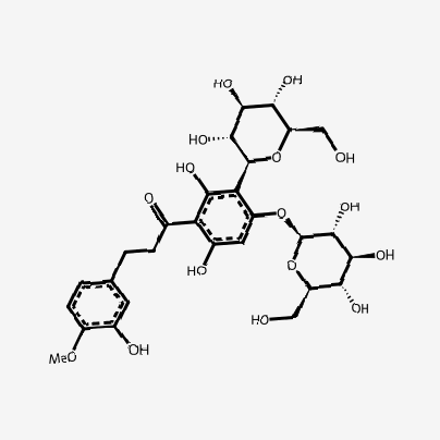 COc1ccc(CCC(=O)c2c(O)cc(O[C@@H]3O[C@H](CO)[C@@H](O)[C@H](O)[C@H]3O)c([C@@H]3O[C@H](CO)[C@@H](O)[C@H](O)[C@H]3O)c2O)cc1O